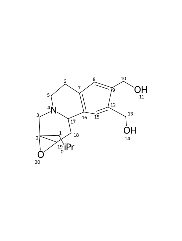 CC(C)CC12CN3CCc4cc(CO)c(CO)cc4C3CC1O2